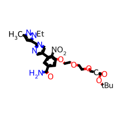 CCn1nc(C)cc1-c1ncc(-c2cc(C(N)=O)cc(OCCOCCOCCC(=O)OC(C)(C)C)c2[N+](=O)[O-])cn1